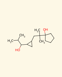 CC(C)C(O)C1CC1CC(C)(C)C1(O)CCCC1